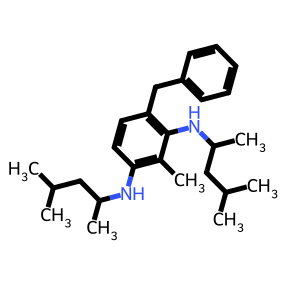 Cc1c(NC(C)CC(C)C)ccc(Cc2ccccc2)c1NC(C)CC(C)C